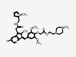 COc1cc(C=C2C(C)=C(CC(=O)NCc3cccn3C)c3cc(F)ccc32)cc(OC)c1OCC(=O)OCCN1CCN(C)CC1